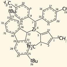 CC1=CC(C)[C]([Zr](=[C](c2ccc(C)cc2)c2ccc(C)cc2)[CH]2c3cc(C(C)(C)C)ccc3-c3ccc(C(C)(C)C)cc32)=C1